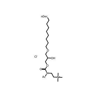 CCCCCCCCCCCCCCCCCCOCC(O)COC(=O)N(CC[N+](C)(C)C)C(C)=O.[Cl-]